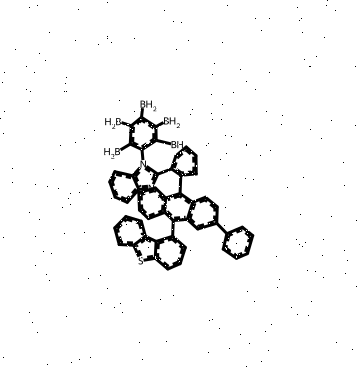 Bc1c(B)c(B)c(-n2c(-c3ccccc3-c3c4ccccc4c(-c4cccc5sc6ccccc6c45)c4cc(-c5ccccc5)ccc34)nc3ccccc32)c(B)c1B